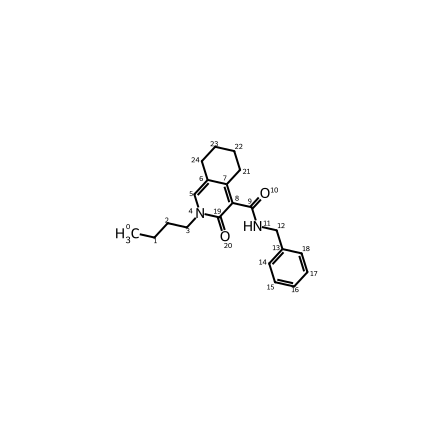 CCCCn1cc2c(c(C(=O)NCc3ccccc3)c1=O)CCCC2